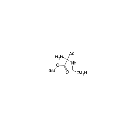 CC(=O)C(N)(NCC(=O)O)C(=O)OC(C)(C)C